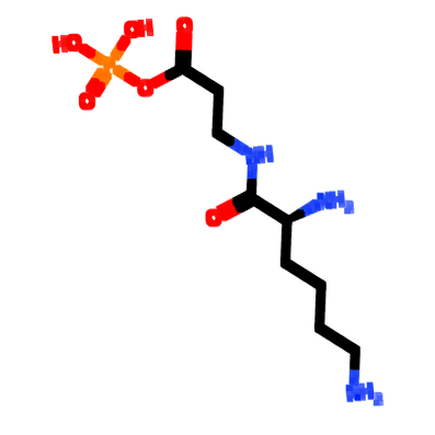 NCCCC[C@H](N)C(=O)NCCC(=O)OP(=O)(O)O